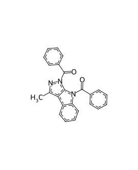 Cc1nn(C(=O)c2ccccc2)c2c1c1ccccc1n2C(=O)c1ccccc1